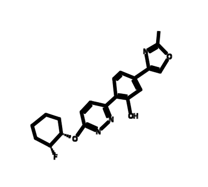 Cc1nc(-c2ccc(-c3ccc(O[C@H]4CCCC[C@H]4F)nn3)c(O)c2)co1